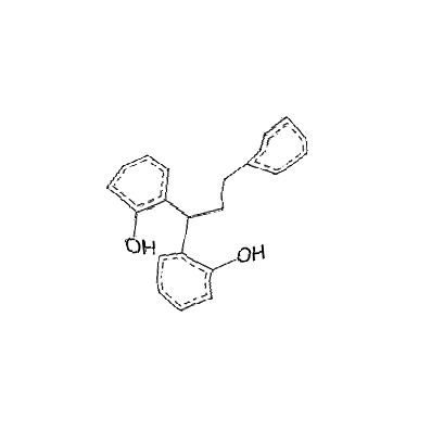 Oc1ccccc1C(CCc1ccccc1)c1ccccc1O